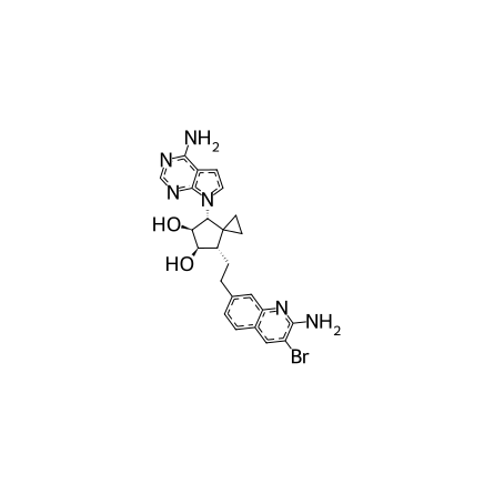 Nc1nc2cc(CC[C@@H]3[C@@H](O)[C@@H](O)[C@H](n4ccc5c(N)ncnc54)C34CC4)ccc2cc1Br